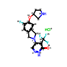 Cl.O=c1[nH]ncc(N2Cc3cc(F)c(OC4CCNC4)cc3C2)c1C(F)(F)F